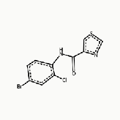 O=C(Nc1ccc(Br)cc1Cl)c1cscn1